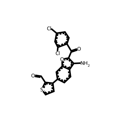 Nc1c(C(=O)c2ccc(Cl)cc2Cl)oc2cc(-c3ccsc3C=O)ccc12